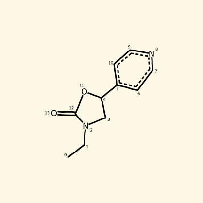 CCN1CC(c2ccncc2)OC1=O